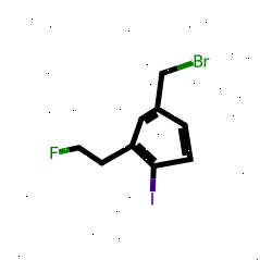 FCCc1cc(CBr)ccc1I